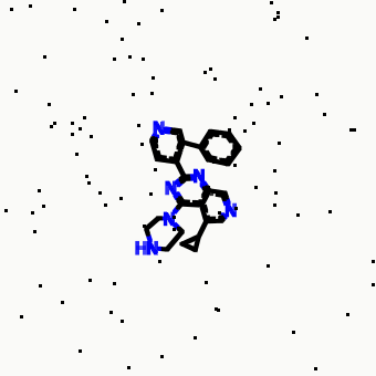 c1ccc(-c2cnccc2-c2nc(N3CCNCC3)c3c(C4CC4)cncc3n2)cc1